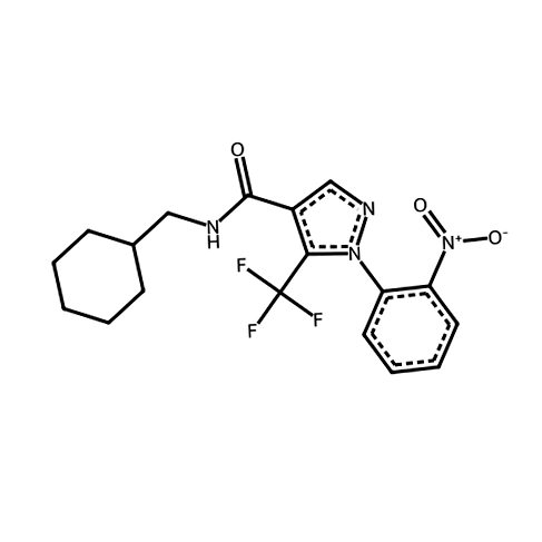 O=C(NCC1CCCCC1)c1cnn(-c2ccccc2[N+](=O)[O-])c1C(F)(F)F